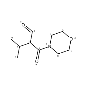 CC(C)C(C=O)C(=O)N1CCOCC1